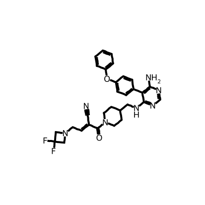 N#C/C(=C\CN1CC(F)(F)C1)C(=O)N1CCC(CNc2ncnc(N)c2-c2ccc(Oc3ccccc3)cc2)CC1